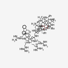 CC[C@H](C)[C@H](NC(=O)[C@H](C)NC(=O)[C@@H](NC(=O)[C@H](C)NC(=O)[C@H](CC(C)C)NC(=O)[C@H](CC(C)C)NC(=O)[C@H](CC(C)C)NC(=O)[C@H](CC(N)=O)NC(=O)CNC(=O)[C@H](CCCNC(=N)N)NC(=O)[C@H](CCCNC(=N)N)NC(=O)[C@H](CCCNC(=N)N)NC(=O)[C@H](CCCNC(=N)N)NC(=O)OCC1c2ccccc2-c2ccccc21)C(C)C)C(=O)N[C@@H](CC(C)C)C(=O)O